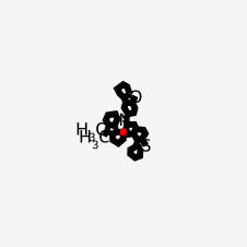 CC1(C)c2ccccc2-c2c(N(c3ccc4c(ccc5sc6ccccc6c54)c3)c3ccc4oc5ccccc5c4c3)cccc21